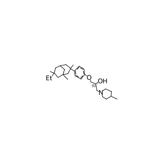 CCC1(C)CC2CC(C)(C1)CC(C)(c1ccc(OC[C@@H](O)CN3CCC(C)CC3)cc1)C2